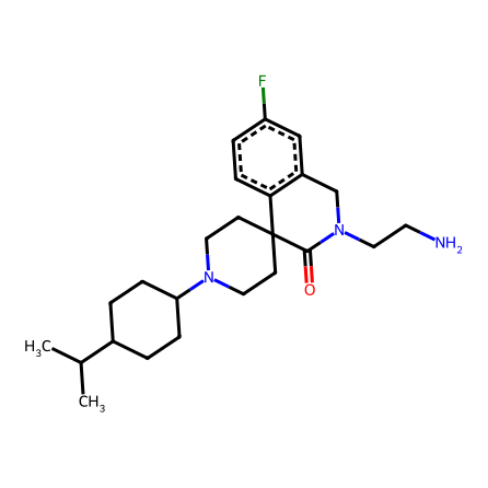 CC(C)C1CCC(N2CCC3(CC2)C(=O)N(CCN)Cc2cc(F)ccc23)CC1